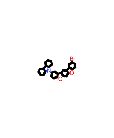 Brc1ccc2oc3cc4oc5ccc(-n6c7ccccc7c7ccccc76)cc5c4cc3c2c1